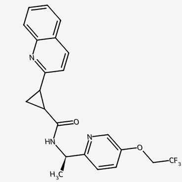 C[C@@H](NC(=O)C1CC1c1ccc2ccccc2n1)c1ccc(OCC(F)(F)F)cn1